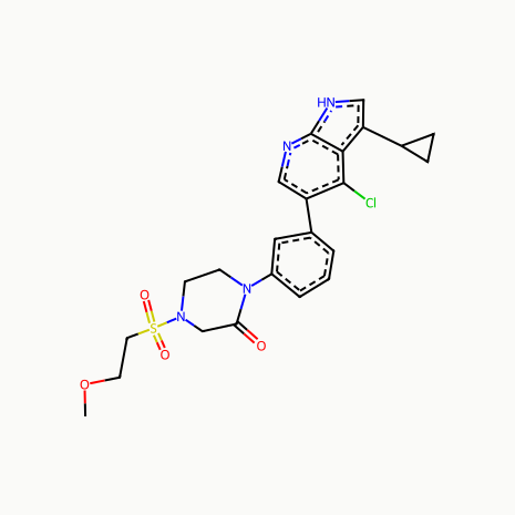 COCCS(=O)(=O)N1CCN(c2cccc(-c3cnc4[nH]cc(C5CC5)c4c3Cl)c2)C(=O)C1